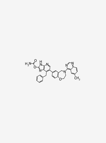 Cc1ccc2ncnc(N3CCOc4ccc(-c5cnc6[nH]c(OC(N)=O)nc6c5Cc5ccccc5)cc4C3)c2c1